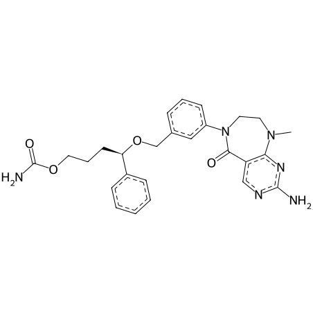 CN1CCN(c2cccc(CO[C@H](CCCOC(N)=O)c3ccccc3)c2)C(=O)c2cnc(N)nc21